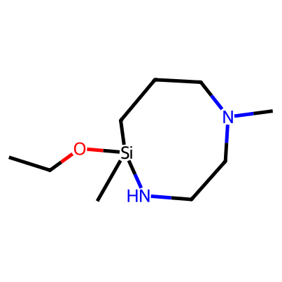 CCO[Si]1(C)CCCN(C)CCN1